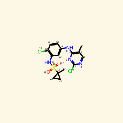 Cc1cnc(Cl)nc1Nc1ccc(Cl)c(NS(=O)(=O)C2(C)CC2)c1